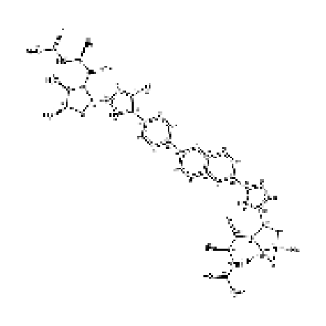 COC(=O)N[C@H](C(=O)N1[C@H](C)[C@H](C)C[C@H]1c1nc(Cl)c(-c2ccc(-c3ccc4cc(-c5cnc([C@@H]6C[C@H]7C[C@H]7N6C(=O)[C@@H](NC(=O)OC)C(C)C)[nH]5)ccc4c3)cc2)[nH]1)C(C)C